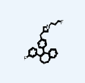 FCCCN1CC(Cc2ccc(C3=C(c4cccc(F)c4)CCCc4ccccc43)cc2)C1